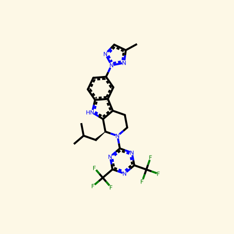 Cc1cnn(-c2ccc3[nH]c4c(c3c2)CCN(c2nc(C(F)(F)F)nc(C(F)(F)F)n2)[C@H]4CC(C)C)n1